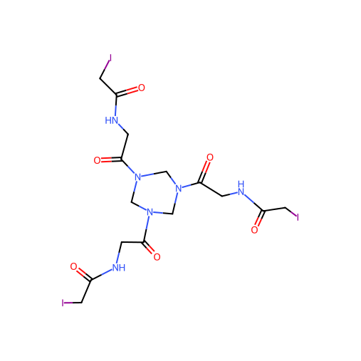 O=C(CI)NCC(=O)N1CN(C(=O)CNC(=O)CI)CN(C(=O)CNC(=O)CI)C1